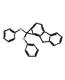 c1ccc(OC2(Oc3ccccc3)c3ccc4c(c32)Cc2ccccc2-4)cc1